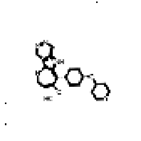 Cl.ClC1=CCNc2c3c([nH]c2=C1[C@H]1CC[C@H](OC2CCOCC2)CC1)=CN=NC3